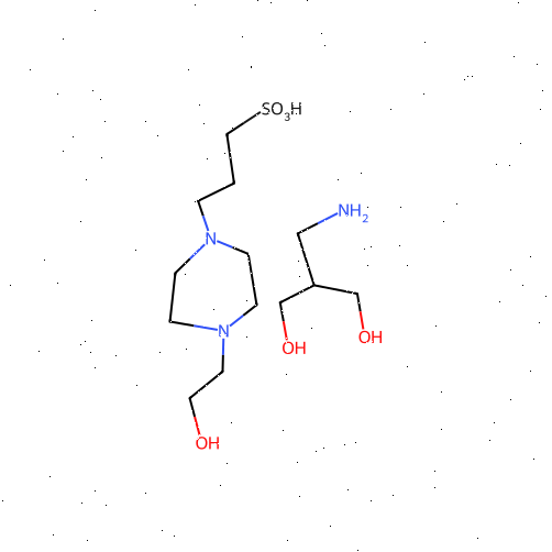 NCC(CO)CO.O=S(=O)(O)CCCN1CCN(CCO)CC1